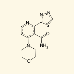 NC(=O)c1c(N2CCOCC2)ccnc1-c1nncs1